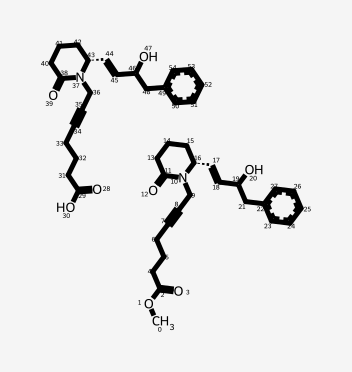 COC(=O)CCCC#CCN1C(=O)CCC[C@@H]1/C=C/C(O)Cc1ccccc1.O=C(O)CCCC#CCN1C(=O)CCC[C@@H]1/C=C/C(O)Cc1ccccc1